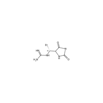 CC[C@@H](NC(=N)N)C1NC(=O)[N]C1=O